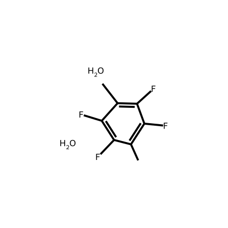 Cc1c(F)c(F)c(C)c(F)c1F.O.O